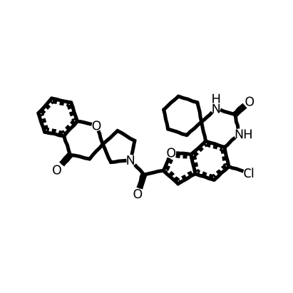 O=C1Nc2c(Cl)cc3cc(C(=O)N4CCC5(CC(=O)c6ccccc6O5)C4)oc3c2C2(CCCCC2)N1